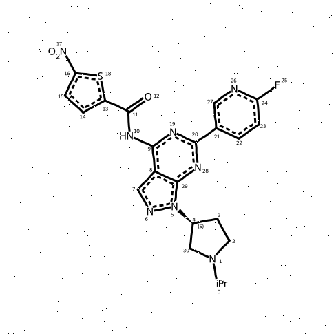 CC(C)N1CC[C@H](n2ncc3c(NC(=O)c4ccc([N+](=O)[O-])s4)nc(-c4ccc(F)nc4)nc32)C1